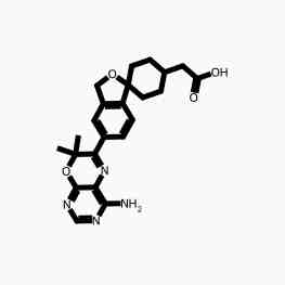 CC1(C)Oc2ncnc(N)c2N=C1c1ccc2c(c1)COC21CCC(CC(=O)O)CC1